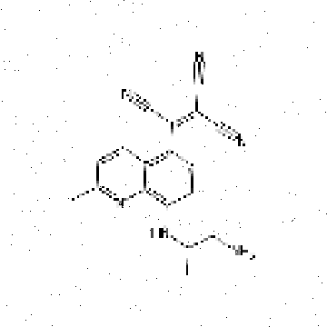 Cc1ccc2c(C(C#N)=C(C#N)C#N)ccc(NC(C)CN)c2n1